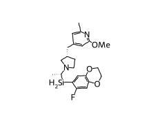 COc1cc(C[C@@H]2CCN([C@@H](C)[SiH2]c3cc4c(cc3F)OCCO4)C2)cc(C)n1